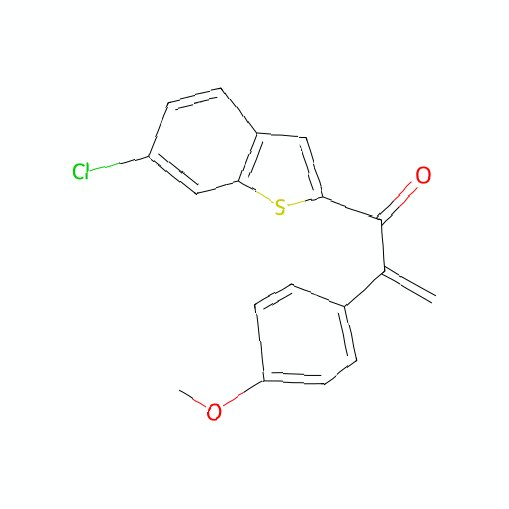 C=C(C(=O)c1cc2ccc(Cl)cc2s1)c1ccc(OC)cc1